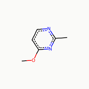 COc1ccnc(C)n1